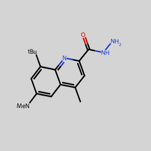 CNc1cc(C(C)(C)C)c2nc(C(=O)NN)cc(C)c2c1